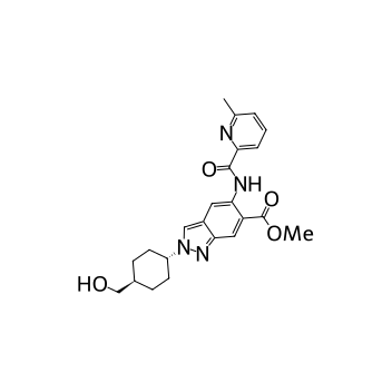 COC(=O)c1cc2nn([C@H]3CC[C@H](CO)CC3)cc2cc1NC(=O)c1cccc(C)n1